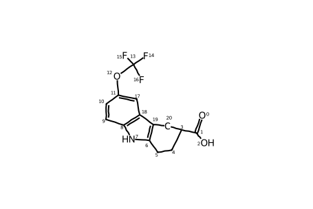 O=C(O)C1CCc2[nH]c3ccc(OC(F)(F)F)cc3c2C1